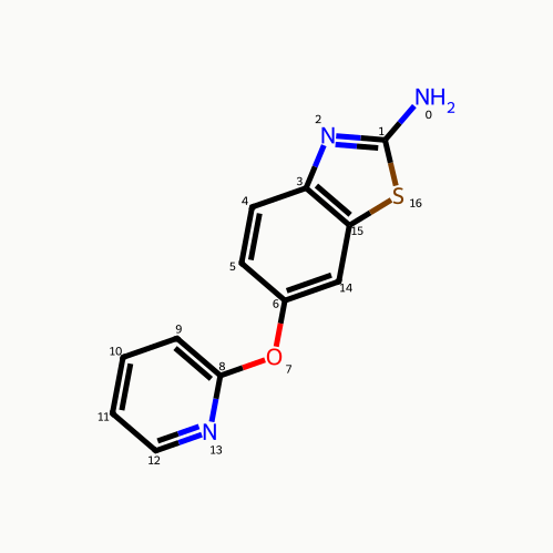 Nc1nc2ccc(Oc3ccccn3)cc2s1